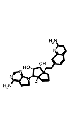 Nc1ccc2ccc(CC[C@@]34CC#C[C@@H]3[C@@H](n3ccc5c(N)ncnc53)[C@H](O)[C@@H]4O)cc2n1